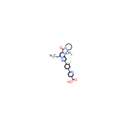 CCc1cc(C(=O)N2CCCCC[C@H]2C)nc2cc(-c3ccc(-c4ccc(C(=O)O)cn4)cc3F)nn12